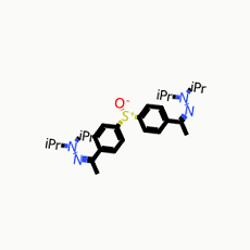 C/C(=N/N(C(C)C)C(C)C)c1ccc([S+]([O-])c2ccc(/C(C)=N\N(C(C)C)C(C)C)cc2)cc1